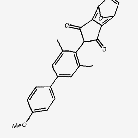 COc1ccc(-c2cc(C)c(C3C(=O)c4c(c5ccc4o5)C3=O)c(C)c2)cc1